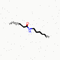 CCCCCCCCCC(=O)NCCCCCC(C)C